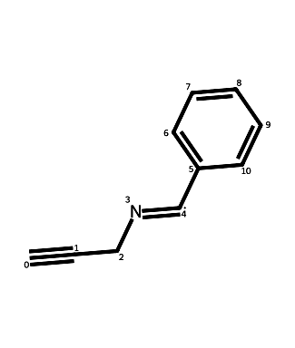 C#CCN=[C]c1ccccc1